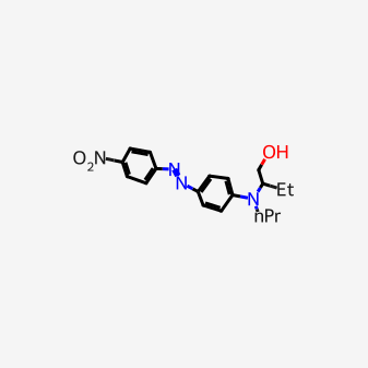 CCCN(c1ccc(/N=N/c2ccc([N+](=O)[O-])cc2)cc1)C(CC)CO